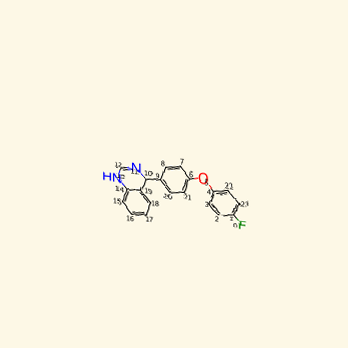 Fc1ccc(Oc2ccc(C3N=[C]Nc4ccccc43)cc2)cc1